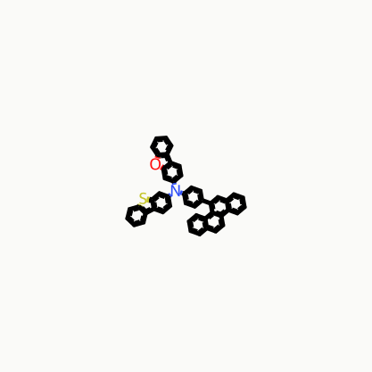 c1ccc2c(c1)cc(-c1ccc(N(c3ccc4c(c3)oc3ccccc34)c3ccc4c(c3)sc3ccccc34)cc1)c1c3ccccc3ccc21